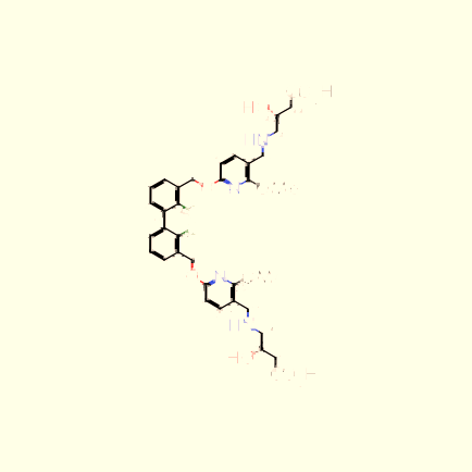 COc1nc(OCc2cccc(-c3cccc(COc4ccc(CNC[C@@H](O)CC(=O)O)c(OC)n4)c3Cl)c2Cl)ccc1CNC[C@@H](O)CC(=O)O